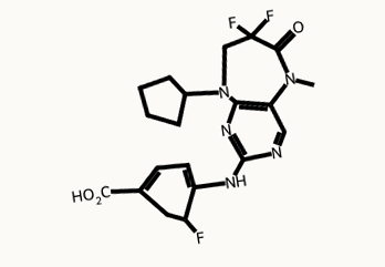 CN1C(=O)C(F)(F)CN(C2CCCC2)c2nc(NC3=CC=C(C(=O)O)CC3F)ncc21